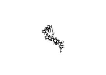 CN(c1ccccc1Cn1ccc2cnc(Nc3ccc4[nH]c(C(=O)N5CCNCC5)cc4c3)nc21)S(C)(=O)=O